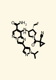 CC(C)n1cc(-c2cn3ncc(C(N)=O)c(N[C@@H]4CN(C(=O)C5(C#N)CC5)C[C@H]4CF)c3n2)cn1